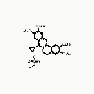 COc1cc2c(cc1OC)-c1cc3cc(OC)c(OC)cc3c(C3CC3)[n+]1CC2.O=S(=O)([O-])[O-].[H+]